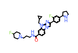 O=C(NCCCN1CCC(F)CC1)c1ccc2c(c1)n(CC1CC1)c1nc(-c3ccc(C4CCCN4)cc3F)cn21